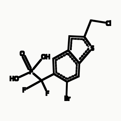 O=P(O)(O)C(F)(F)c1cc2cc(CCl)sc2cc1Br